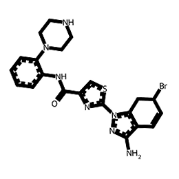 Nc1nn(-c2nc(C(=O)Nc3ccccc3N3CCNCC3)cs2)c2c1C=CC(Br)C2